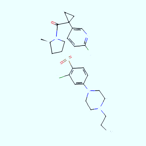 COCCN1CCN(c2ccc(S(=O)(=O)[C@@H]3C[C@@H](C(=O)O)N(C(=O)C4(c5ccc(Cl)nc5)CC4)C3)c(Cl)c2)CC1